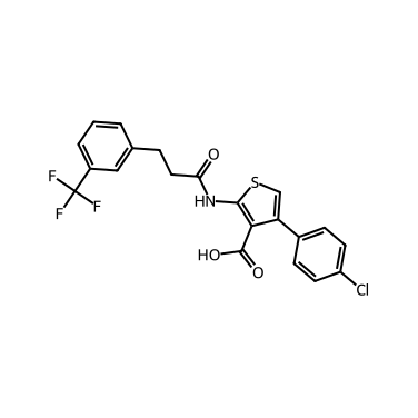 O=C(CCc1cccc(C(F)(F)F)c1)Nc1scc(-c2ccc(Cl)cc2)c1C(=O)O